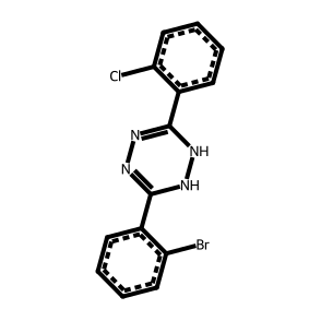 Clc1ccccc1C1=NN=C(c2ccccc2Br)NN1